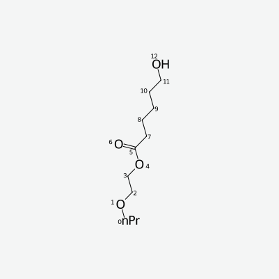 CCCOCCOC(=O)CCCCCO